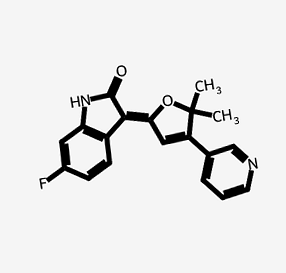 CC1(C)OC(=C2C(=O)Nc3cc(F)ccc32)C=C1c1cccnc1